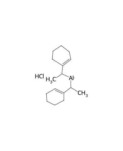 C[CH]([Al][CH](C)C1=CCCCC1)C1=CCCCC1.Cl